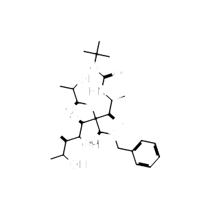 CC(O)C(=O)OC(C(=O)OCc1ccccc1)(C(=O)C(O)C(=O)C(C)O)C(=O)[C@H](C)NC(=O)OC(C)(C)C